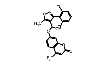 Cc1onc(-c2c(Cl)cccc2Cl)c1C(O)Oc1ccc2c(C(F)(F)F)cc(=O)oc2c1